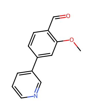 COc1cc(-c2cccnc2)ccc1C=O